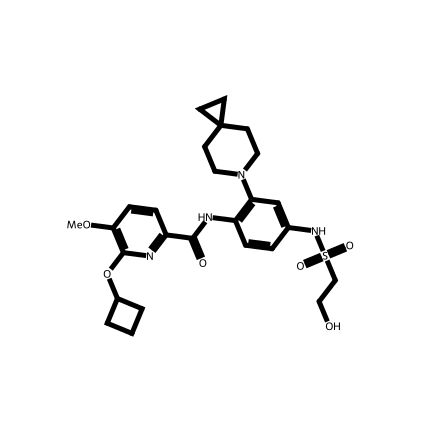 COc1ccc(C(=O)Nc2ccc(NS(=O)(=O)CCO)cc2N2CCC3(CC2)CC3)nc1OC1CCC1